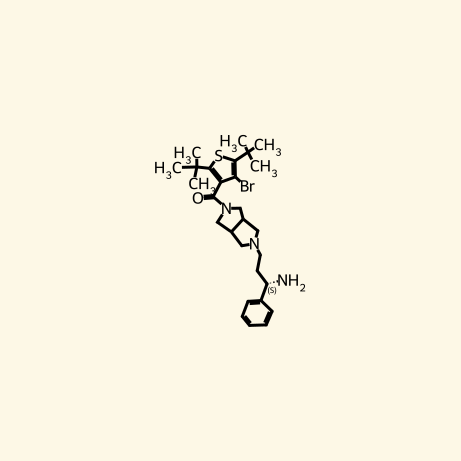 CC(C)(C)c1sc(C(C)(C)C)c(C(=O)N2CC3CN(CC[C@H](N)c4ccccc4)CC3C2)c1Br